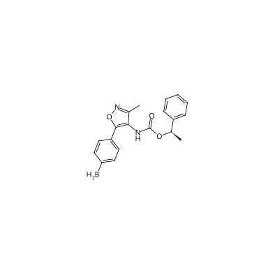 Bc1ccc(-c2onc(C)c2NC(=O)O[C@H](C)c2ccccc2)cc1